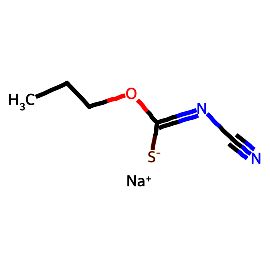 CCCOC([S-])=NC#N.[Na+]